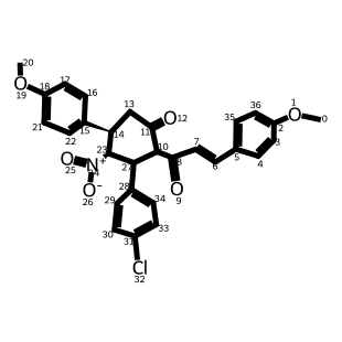 COc1ccc(/C=C/C(=O)C2C(=O)C[C@H](c3ccc(OC)cc3)[C@H]([N+](=O)[O-])C2c2ccc(Cl)cc2)cc1